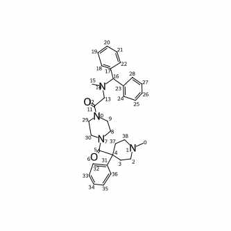 CN1CCC(C(=O)N2CCN(C(=O)CN(C)C(c3ccccc3)c3ccccc3)CC2)(c2ccccc2)CC1